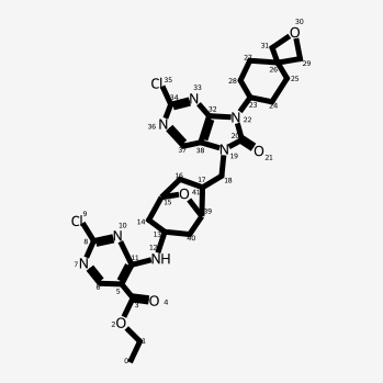 CCOC(=O)c1cnc(Cl)nc1NC1CC2CC(Cn3c(=O)n(C4CCC5(CC4)COC5)c4nc(Cl)ncc43)C(C1)O2